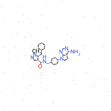 Cn1ncc(C(=O)NCc2ccc(-n3ccc4c(N)ncnc43)cc2)c1Cc1ccccc1